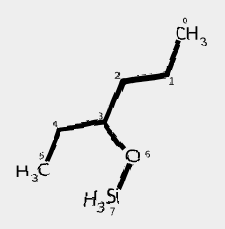 CCCC(CC)O[SiH3]